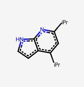 CC(C)c1cc(C(C)C)c2cc[nH]c2n1